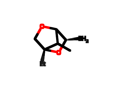 B[C@@H]1O[C@]2(CC)COC1C2C